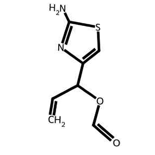 C=CC(OC=O)c1csc(N)n1